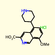 COc1ccc(C2CCNCC2)c2cc(C(=O)O)ncc12.Cl